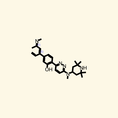 C=C/C(=C\C(C)=N/C)c1ccc(-c2ccc(N(C)C3CC(C)(C)NC(C)(C)C3)nn2)c(O)c1